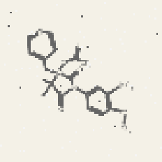 CC1(C)C(=O)N(c2ccc(OC(F)(F)F)c([N+](=O)[O-])c2)C(=O)[N+]1(Cc1ccncc1)OC(=O)C(F)(F)F